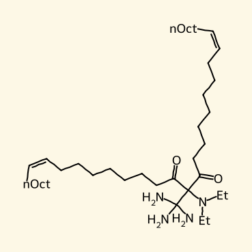 CCCCCCCC/C=C\CCCCCCCC(=O)C(C(=O)CCCCCCC/C=C\CCCCCCCC)(N(CC)CC)C(N)(N)N